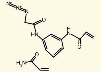 C=CC(=O)Nc1cccc(NC(=O)CN=[N+]=[N-])c1.C=CC(N)=O